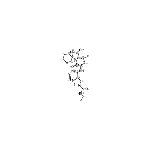 CCNC(=O)N1Cc2ncnc(Nc3cc(C)c4n(c3=O)C3(CCCCC3)NC4=O)c2C1